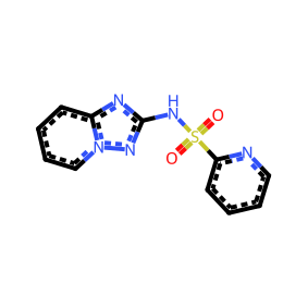 O=S(=O)(Nc1nc2ccccn2n1)c1ccccn1